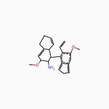 C=Cc1c(OC)cc2c(c1C1C3C=CCCC3=CC(OC)C1N)=CCC=2